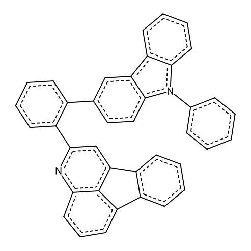 c1ccc(-n2c3ccccc3c3cc(-c4ccccc4-c4cc5c6c(cccc6n4)-c4ccccc4-5)ccc32)cc1